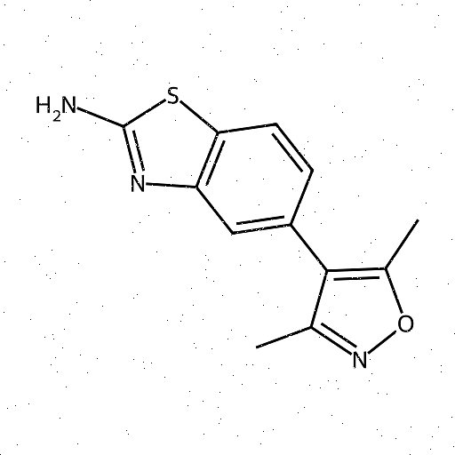 Cc1noc(C)c1-c1ccc2sc(N)nc2c1